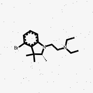 CCN(CC)CCN1c2cccc(Br)c2C(C)(C)[C@H]1C